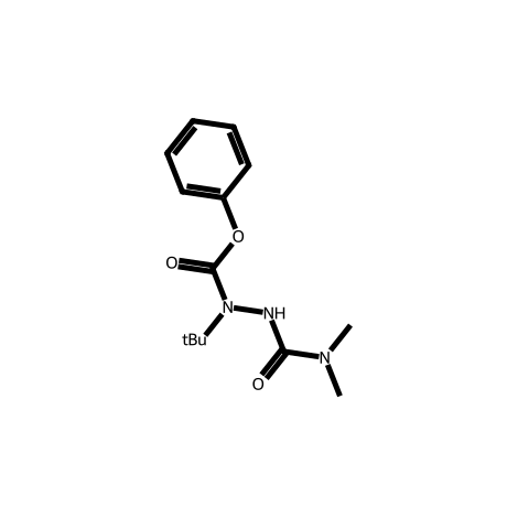 CN(C)C(=O)NN(C(=O)Oc1ccccc1)C(C)(C)C